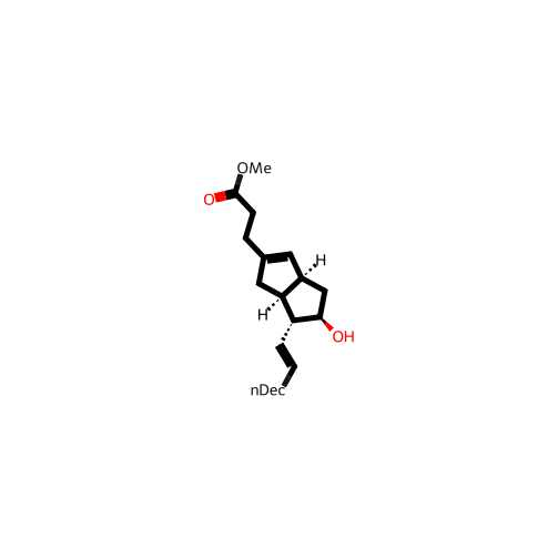 CCCCCCCCCC/C=C/[C@@H]1[C@H]2CC(CCC(=O)OC)=C[C@H]2C[C@H]1O